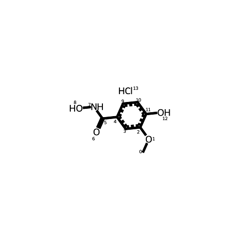 COc1cc(C(=O)NO)ccc1O.Cl